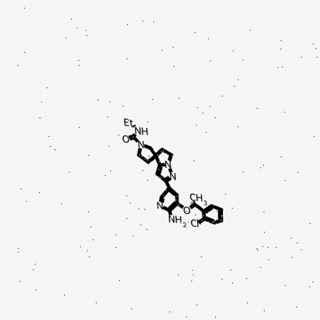 CCNC(=O)N1CCC2(CCn3nc(-c4cnc(N)c(O[C@@H](C)c5ccccc5Cl)c4)cc32)C1